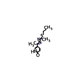 CCCCS/C(C)=N/N=C(\C)c1ccc(=O)[nH]c1